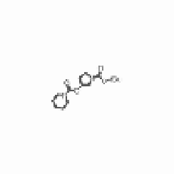 CC(C)(C)OC(=O)N1CC[C@H](OC(=O)N2CCCCC2)C1